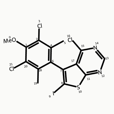 COc1c(Cl)c(C)c(-c2c(I)sc3ncnc(Cl)c23)c(C)c1Cl